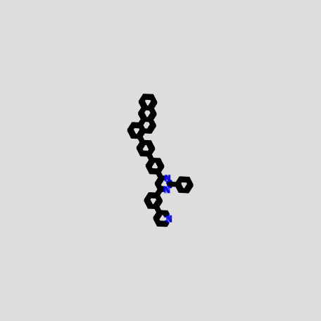 c1ccc(-c2nc(-c3ccc(-c4ccc(-c5cccc6c5ccc5cc7ccccc7cc56)cc4)cc3)cc(-c3cccc(-c4cccnc4)c3)n2)cc1